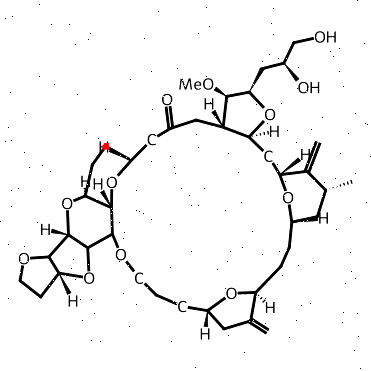 C=C1C[C@@H]2CCCOC3C4O[C@@H]5CCOC5[C@@H]4O[C@H]4CC[C@H](CC(=O)C[C@@H]5[C@@H](OC)[C@@H](C[C@H](O)CO)O[C@H]5C[C@H]5O[C@@H](CC[C@@H]1O2)C[C@@H](C)C5=C)O[C@H]34